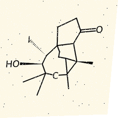 CC1CCC23CCC(=O)C2[C@]1(C)CCC(C)(C)[C@@H](O)[C@@H]3I